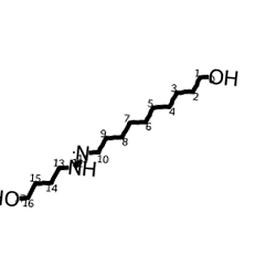 OCCCCCCCCCC[N]NCCCCO